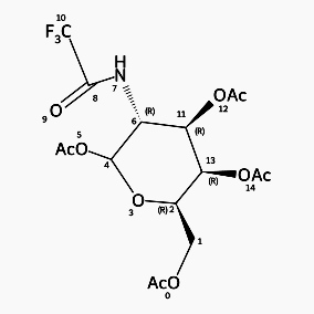 CC(=O)OC[C@H]1OC(OC(C)=O)[C@H](NC(=O)C(F)(F)F)[C@@H](OC(C)=O)[C@H]1OC(C)=O